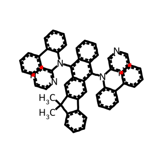 CC1(C)c2ccccc2-c2cc3c(N(c4cnccn4)c4ccccc4-c4ccccc4)c4ccccc4c(N(c4cnccn4)c4ccccc4-c4ccccc4)c3cc21